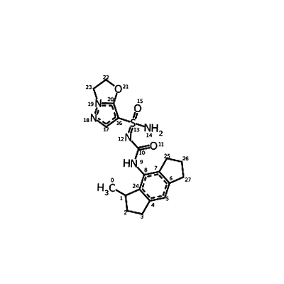 CC1CCc2cc3c(c(NC(=O)N=S(N)(=O)c4cnn5c4OCC5)c21)CCC3